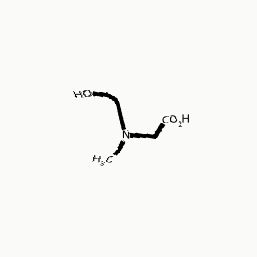 CN(CO)CC(=O)O